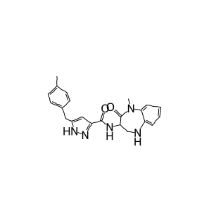 Cc1ccc(Cc2cc(C(=O)NC3CNc4ccccc4N(C)C3=O)n[nH]2)cc1